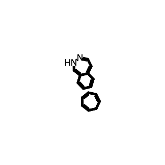 C1=CC=CCC=C1.C1=NNC=c2ccccc2=C1